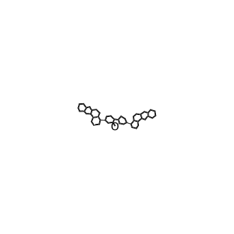 c1ccc2cc3c(ccc4c(-c5ccc6c(c5)oc5cc(-c7cccc8c7ccc7cc9ccccc9cc78)ccc56)cccc43)cc2c1